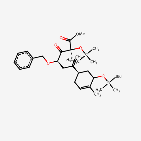 C=C(C[C@@H](OCc1ccccc1)C(=O)[C@](C)(O[Si](C)(C)C)C(=O)OC)[C@@H]1CC=C(C)C(O[Si](C)(C)C(C)(C)C)C1